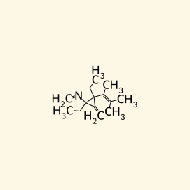 C=NC1(CC)C(=C)C1(CC)C(C)=C(C)C